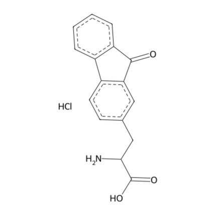 Cl.NC(Cc1ccc2c(c1)C(=O)c1ccccc1-2)C(=O)O